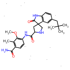 COc1c(NC(=O)C2CC3(CN2)C(=O)Nc2ccc(CC(C)(C)C)cc23)ccc(C(N)=O)c1C